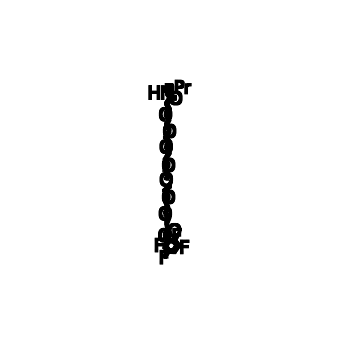 CCCNC(=O)CCOCCOCCOCCOCCOCCOCCOCCC(=O)Oc1c(F)c(F)cc(F)c1F